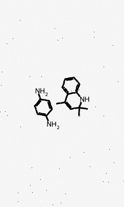 CC1=CC(C)(C)Nc2ccccc21.Nc1ccc(N)cc1